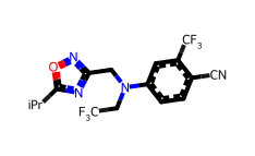 CC(C)c1nc(CN(CC(F)(F)F)c2ccc(C#N)c(C(F)(F)F)c2)no1